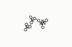 c1ccc(-c2nc(-c3ccccc3)nc(-c3ccc(-c4ccc5c6ccccc6n(-c6ccc(-c7cccc8c7c7ccccc7n8-c7ccccc7)cc6)c5c4)cc3)n2)cc1